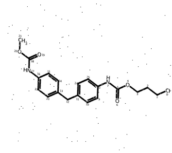 CCCCOC(=O)Nc1ccc(Cc2ccc(NC(=O)OC)cc2)cc1